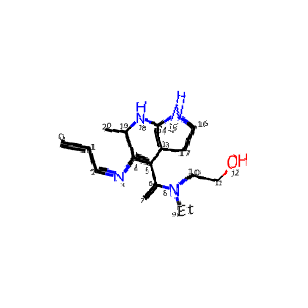 C=C/C=N\C1=C(C(=C)N(CC)CCO)C2=C(NCC2)NC1C